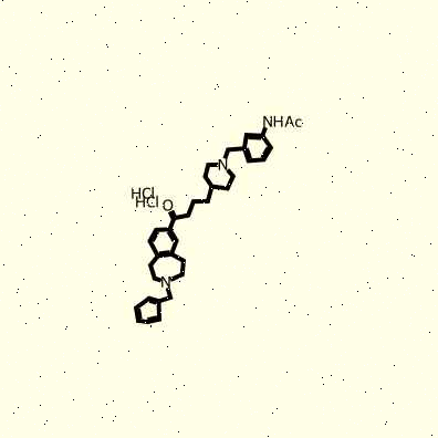 CC(=O)Nc1cccc(CN2CCC(CCCC(=O)c3ccc4c(c3)CCN(Cc3ccccc3)CC4)CC2)c1.Cl.Cl